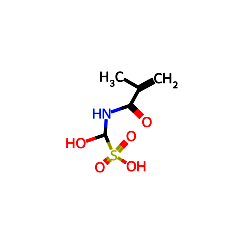 C=C(C)C(=O)NC(O)S(=O)(=O)O